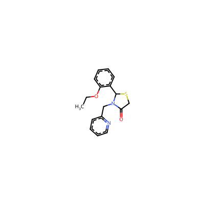 CCOc1ccccc1C1SCC(=O)N1Cc1ccccn1